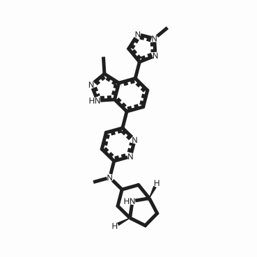 Cc1n[nH]c2c(-c3ccc(N(C)C4C[C@H]5CC[C@@H](C4)N5)nn3)ccc(-c3cnn(C)n3)c12